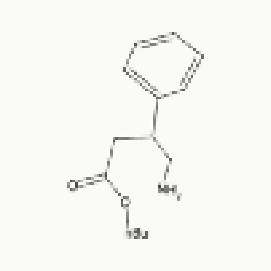 CCCCOC(=O)CC(CN)c1ccccc1